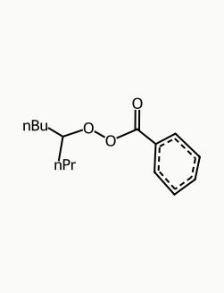 CCCCC(CCC)OOC(=O)c1ccccc1